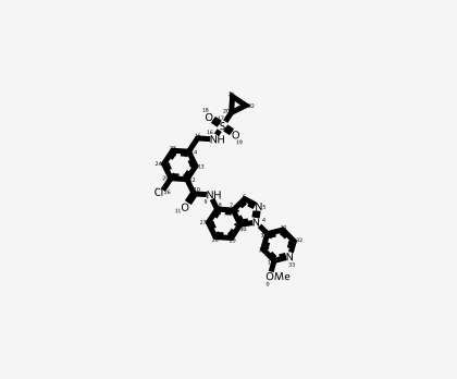 COc1cc(-n2ncc3c(NC(=O)c4cc(CNS(=O)(=O)C5CC5)ccc4Cl)cccc32)ccn1